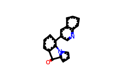 O=C1c2cccc(-c3cnc4ccccc4c3)c2-n2cccc21